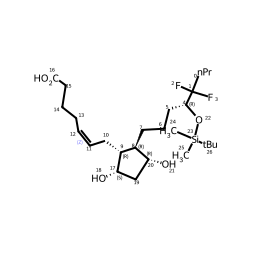 CCCC(F)(F)[C@@H](CCC[C@@H]1[C@@H](C/C=C\CCCC(=O)O)[C@@H](O)C[C@H]1O)O[Si](C)(C)C(C)(C)C